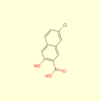 O=C(O)c1cc2cc(Cl)ccc2cc1O